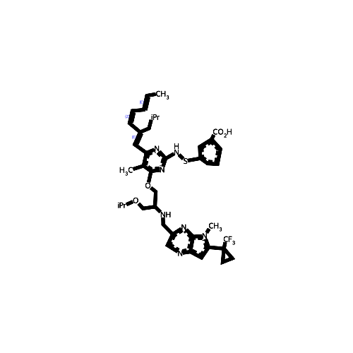 C/C=C/C=C\C(=C\c1nc(NSc2cccc(C(=O)O)c2)nc(OCC(COC(C)C)NCc2cnc3cc(C4(C(F)(F)F)CC4)n(C)c3n2)c1C)CC(C)C